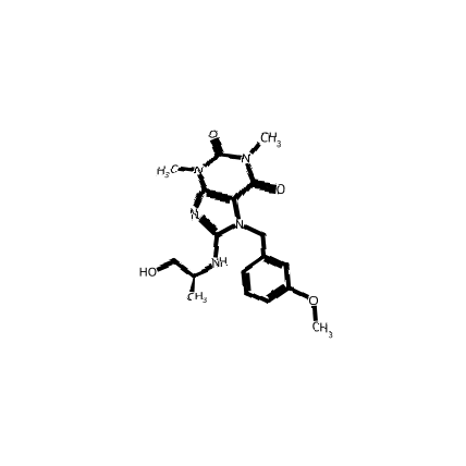 COc1cccc(Cn2c(N[C@@H](C)CO)nc3c2c(=O)n(C)c(=O)n3C)c1